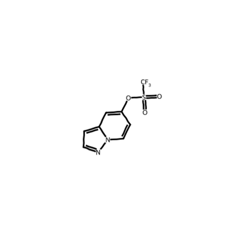 O=S(=O)(Oc1ccn2nccc2c1)C(F)(F)F